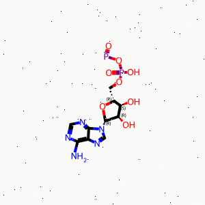 Nc1ncnc2c1ncn2[C@@H]1O[C@H](COP(=O)(O)OP=O)[C@@H](O)[C@H]1O